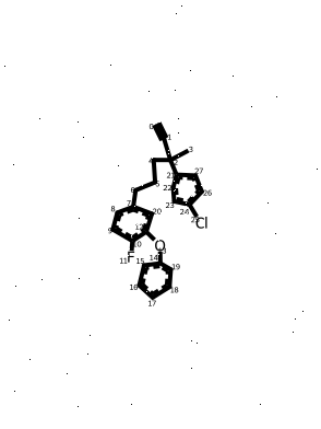 C#CC(C)(CCCc1ccc(F)c(Oc2ccccc2)c1)c1ccc(Cl)cc1